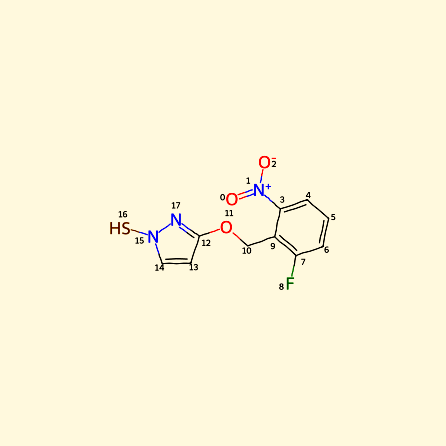 O=[N+]([O-])c1cccc(F)c1COc1ccn(S)n1